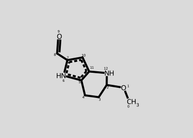 COC1CCc2[nH]c(C=O)cc2N1